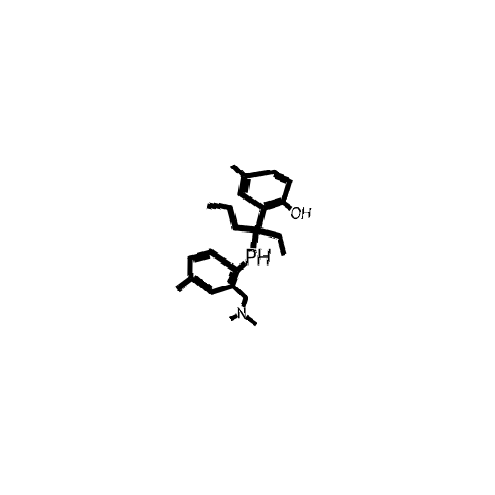 CCCC(CC)(Pc1ccc(C)cc1CN(C)C)c1cc(C)ccc1O